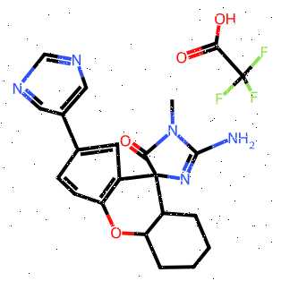 CN1C(=O)C2(N=C1N)c1cc(-c3cncnc3)ccc1OC1CCCCC12.O=C(O)C(F)(F)F